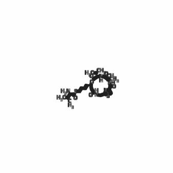 CC(C)[C@H](N)C(=O)SCC/C=C/[C@@H]1CC(=O)NCc2nc(cs2)C(=O)NC(C)(C)C(=O)N[C@@H](C(C)C)C(=O)O1